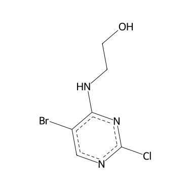 OCCNc1nc(Cl)ncc1Br